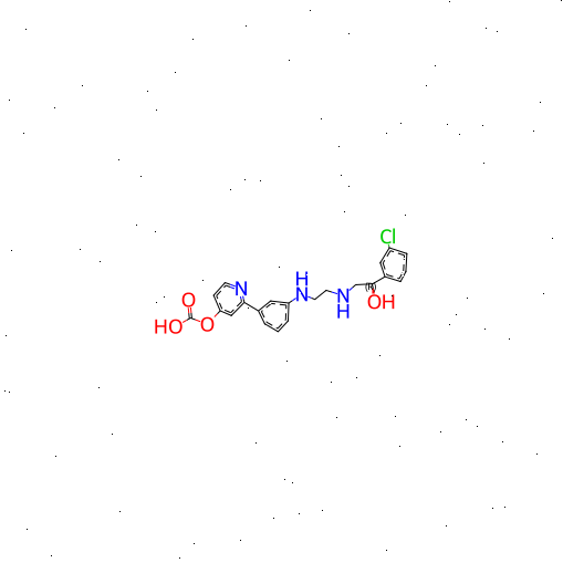 O=C(O)Oc1ccnc(-c2cccc(NCCNC[C@H](O)c3cccc(Cl)c3)c2)c1